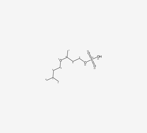 CC(C)CCOC(C)CCOS(=O)(=O)O